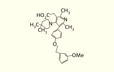 COc1cccc(CCOc2ccc(-c3c(C)nc(C)c(CC(=O)O)c3N3CCC(C)(C)CC3)cc2)c1